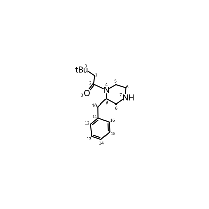 CC(C)(C)CC(=O)N1CCNCC1Cc1ccccc1